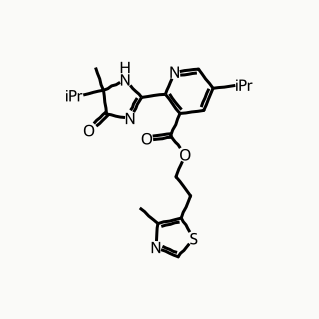 Cc1ncsc1CCOC(=O)c1cc(C(C)C)cnc1C1=NC(=O)C(C)(C(C)C)N1